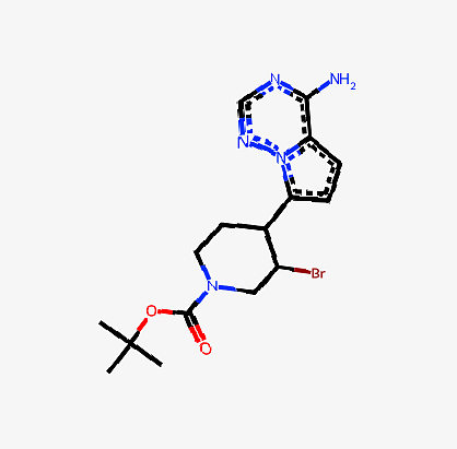 CC(C)(C)OC(=O)N1CCC(c2ccc3c(N)ncnn23)C(Br)C1